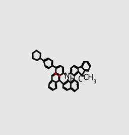 CC1(C)c2ccccc2-c2ccc(N(c3ccc(-c4ccc(C5CCCCC5)cc4)cc3)c3c(-c4cccc5ccccc45)ccc4ccccc34)cc21